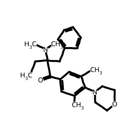 CCC(Cc1ccccc1)(C(=O)c1cc(C)c(N2CCOCC2)c(C)c1)N(C)C